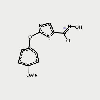 COc1ccc(Oc2ncc(/C(Cl)=N/O)s2)cc1